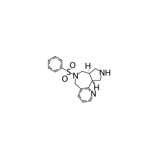 O=S(=O)(c1ccccc1)N1Cc2cccnc2[C@H]2CNC[C@@H]2C1